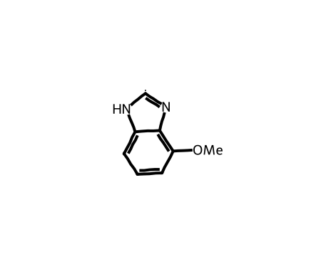 COc1cccc2[nH][c]nc12